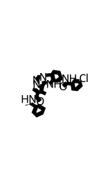 Cc1ccc(NC(=O)c2cccc(Cl)c2)cc1Nc1ncnn2cc(C(=O)N[C@@H](C)c3ccccc3)c(C)c12